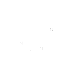 [c]1nnn2nccnc12